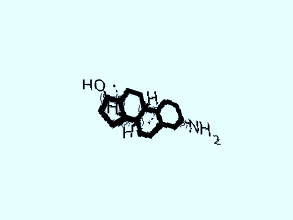 C[C@]12CC[C@H]3[C@@H](CC=C4C[C@@H](N)CC[C@@]43C)[C@@H]1CC[C@@H]2O